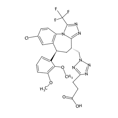 COc1cccc([C@@H]2C[C@@H](Cn3nnc(CCC(=O)O)n3)c3nnc(C(F)(F)F)n3-c3ccc(Cl)cc32)c1OC